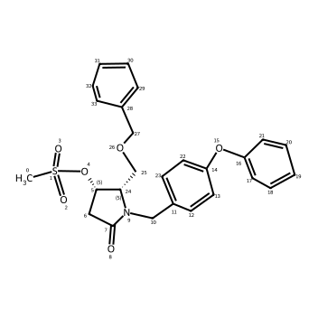 CS(=O)(=O)O[C@H]1CC(=O)N(Cc2ccc(Oc3ccccc3)cc2)[C@H]1COCc1ccccc1